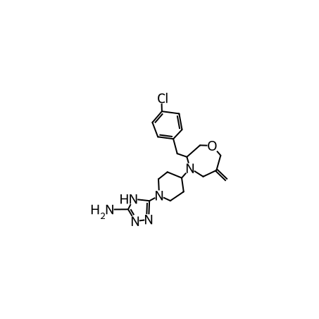 C=C1COCC(Cc2ccc(Cl)cc2)N(C2CCN(c3nnc(N)[nH]3)CC2)C1